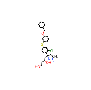 CCC(N)(CC(O)CCO)c1ccc(Sc2cccc(OCc3ccccc3)c2)cc1Cl